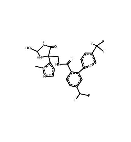 Cn1nccc1C1(CNC(=O)c2ccc(C(F)F)cc2-c2ccc(C(F)(F)F)cc2)NC(O)NC1=O